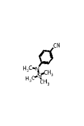 CN(c1ccc(C#N)cc1)[Si](C)(C)C